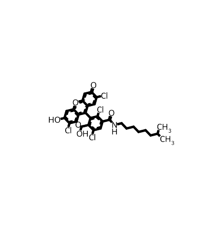 CC(C)CCCCCCNC(=O)c1cc(Cl)c(C(=O)O)c(-c2c3cc(Cl)c(=O)cc-3oc3cc(O)c(Cl)cc23)c1Cl